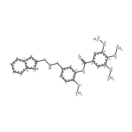 COc1ccc(CNCc2cc3ccccc3[nH]2)cc1OC(=O)c1cc(OC)c(OC)c(OC)c1